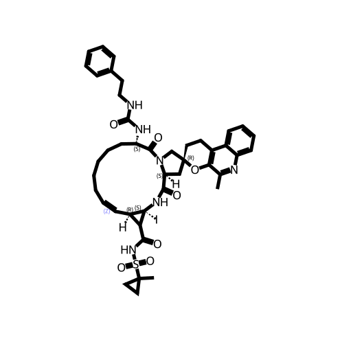 Cc1nc2ccccc2c2c1O[C@]1(CC2)C[C@H]2C(=O)N[C@@]3(I)C(C(=O)NS(=O)(=O)C4(C)CC4)[C@H]3/C=C\CCCCC[C@H](NC(=O)NCCc3ccccc3)C(=O)N2C1